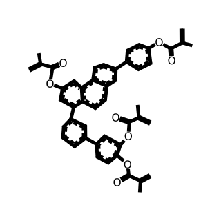 C=C(C)C(=O)Oc1ccc(-c2ccc3c(ccc4c(-c5cccc(-c6ccc(OC(=O)C(=C)C)c(OC(=O)C(=C)C)c6)c5)cc(OC(=O)C(=C)C)cc43)c2)cc1